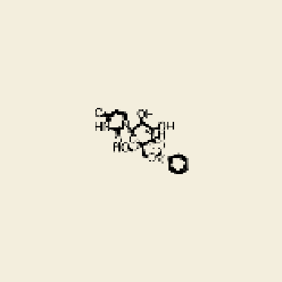 O=c1ccn([C@@H]2O[C@]3(CO)CO[C@@H](c4ccccc4)O[C@H]3[C@H](O)C2O)c(=O)[nH]1